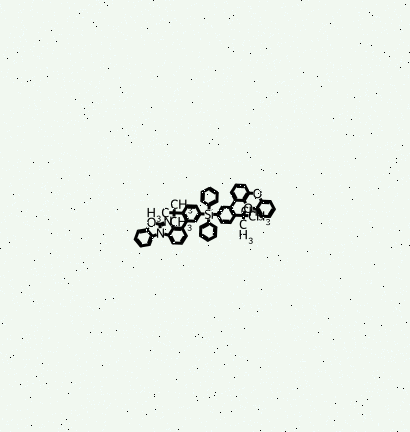 CC(C)(C)c1ccc([Si](c2ccccc2)(c2ccccc2)c2ccc(C(C)(C)C)c(-c3cccc4c3nc3oc5ccccc5n34)c2)cc1-c1cccc2c1Oc1ccccc1O2